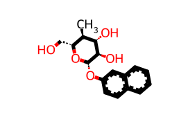 C[C@H]1[C@H](O)[C@@H](O)[C@H](Oc2ccc3ccccc3c2)O[C@@H]1CO